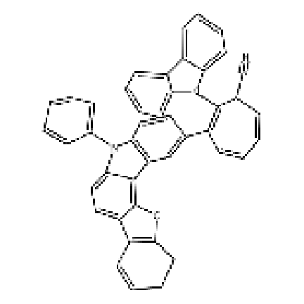 N#CC1C=CC=CC(c2ccc3c(c2)c2c4oc5c(c4ccc2n3-c2ccccc2)C=CCC5)=C1n1c2ccccc2c2ccccc21